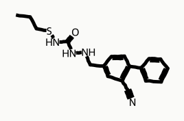 CCCSNC(=O)NNCc1ccc(-c2ccccc2)c(C#N)c1